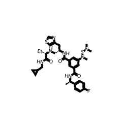 CC[C@H](NC[C@H](Cc1cscn1)NC(=O)c1cc(C(=O)N[C@H](C)c2ccc(F)cc2)cc(N(C)SN(C)C)c1)C(=O)NCC1CC1